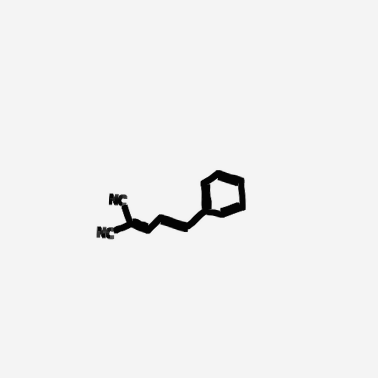 N#CC(C#N)=CC=Cc1ccccc1